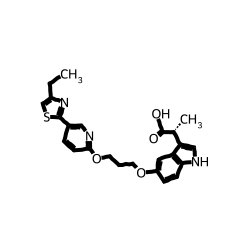 CCc1csc(-c2ccc(OCCCOc3ccc4[nH]cc([C@@H](C)C(=O)O)c4c3)nc2)n1